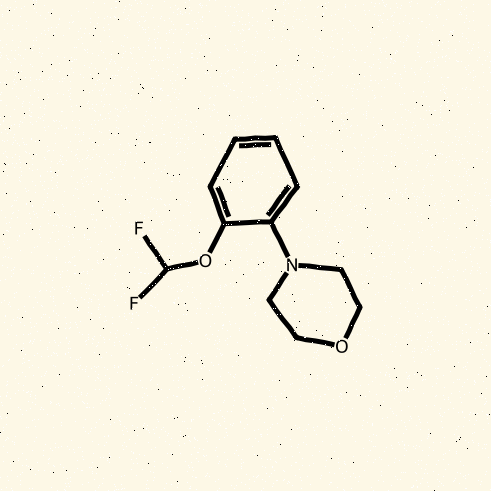 FC(F)Oc1ccccc1N1CCOCC1